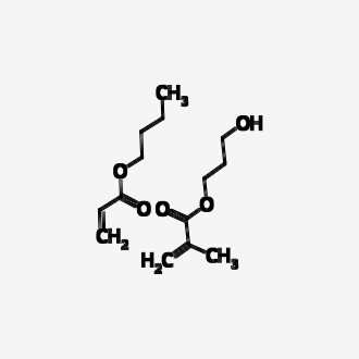 C=C(C)C(=O)OCCCO.C=CC(=O)OCCCC